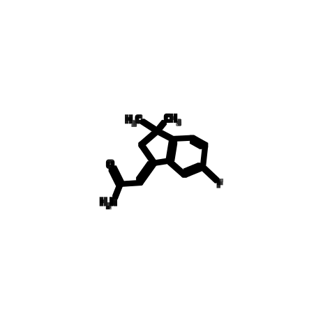 CC1(C)C/C(=C\C(N)=O)c2cc(F)ccc21